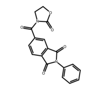 O=C1OCCN1C(=O)c1ccc2c(c1)C(=O)N(c1ccccc1)C2=O